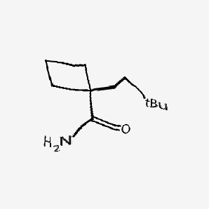 CC(C)(C)CC1(C(N)=O)CCC1